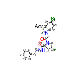 CC(=O)c1cn(CC(=O)N2C[C@H](F)C[C@H]2C(=O)NCCc2ccccc2)c2ccc(Br)cc12